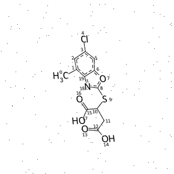 Cc1cc(Cl)cc2oc(SC(CC(=O)O)C(=O)O)nc12